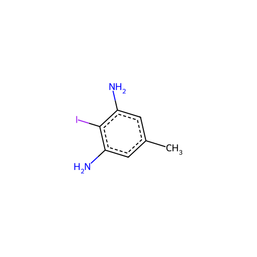 Cc1cc(N)c(I)c(N)c1